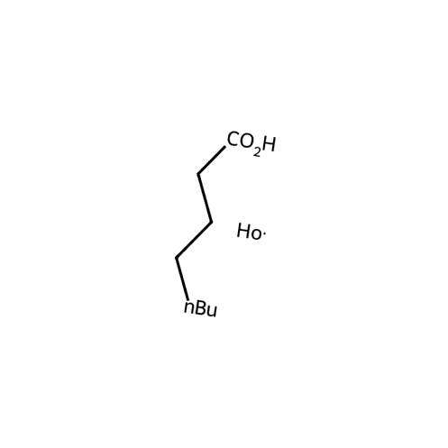 CCCCCCCC(=O)O.[Ho]